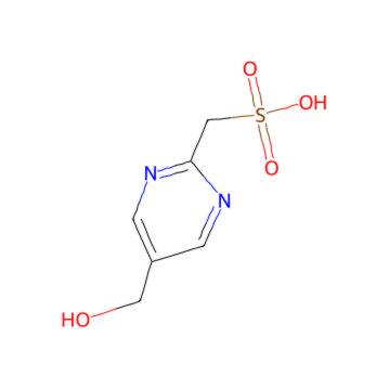 O=S(=O)(O)Cc1ncc(CO)cn1